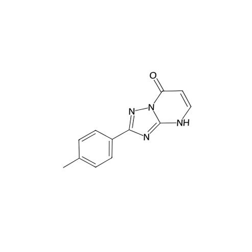 Cc1ccc(-c2nc3[nH]ccc(=O)n3n2)cc1